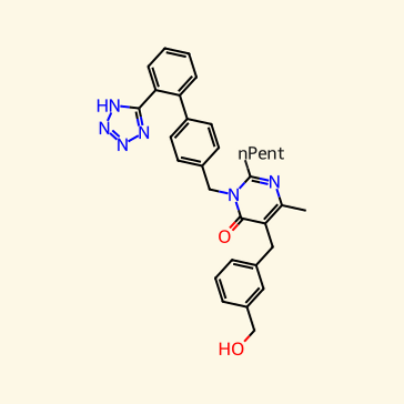 CCCCCc1nc(C)c(Cc2cccc(CO)c2)c(=O)n1Cc1ccc(-c2ccccc2-c2nnn[nH]2)cc1